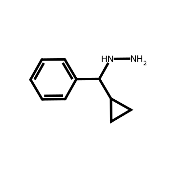 NNC(c1ccccc1)C1CC1